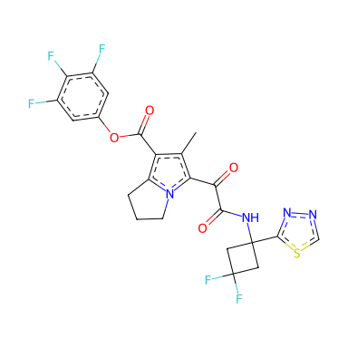 Cc1c(C(=O)Oc2cc(F)c(F)c(F)c2)c2n(c1C(=O)C(=O)NC1(c3nncs3)CC(F)(F)C1)CCC2